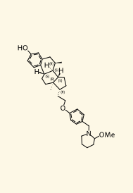 COC1CCCCN1Cc1ccc(OCC[C@H]2CC[C@H]3[C@@H]4[C@H](C)Cc5cc(O)ccc5[C@H]4CC[C@]23C)cc1